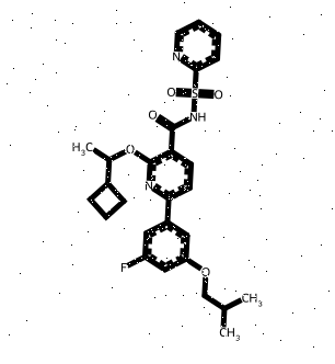 CC(C)COc1cc(F)cc(-c2ccc(C(=O)NS(=O)(=O)c3ccccn3)c(OC(C)C3CCC3)n2)c1